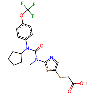 CN(C(=O)N(c1ccc(OC(F)(F)F)cc1)C1CCCC1)c1ncc(SCC(=O)O)s1